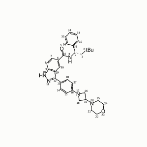 CC(C)(C)C[C@H](NC(=O)c1ccc2[nH]nc(-c3ccc(N4CC(N5CCOCC5)C4)cc3)c2c1)c1ccccc1